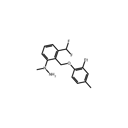 CCc1cc(C)ccc1OCc1c(C(F)F)cccc1N(C)N